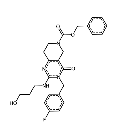 O=C(OCc1ccccc1)N1CCc2nc(NCCCO)n(Cc3ccc(F)cc3)c(=O)c2C1